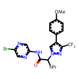 CCCC(C(=O)Nc1cnc(Br)cn1)n1cc(-c2ccc(OC)cc2)c(C(F)(F)F)n1